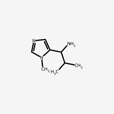 CC(C)C(N)c1cncn1C